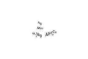 [Ag].[AlH3].[Cu].[MgH2].[Mn]